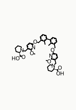 COc1nc(OCc2cccc(-c3cccc(COc4ccc(CN5CCCC[C@@H]5C(=O)O)c(OC)n4)c3C)c2C)ccc1CN1CCCC[C@@H]1C(=O)O